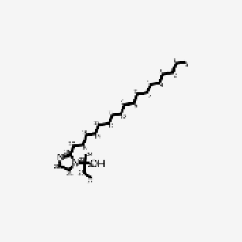 CCCCCCCCCCCCCCCCCCC1=NCCN1C(C)(O)CC